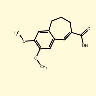 COc1cc2c(cc1OC)CCCC(C(=O)O)=C2